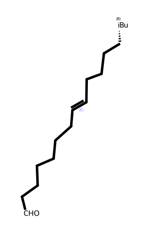 CC[C@@H](C)CCCC/C=C/CCCCCCC=O